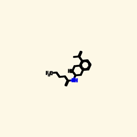 C=C(CCCC(F)(F)F)NC1BCc2c(cccc2C(=C)C)C1